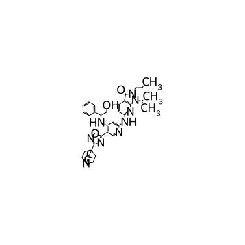 CCCn1c(=O)c2ccc(Nc3cc(N[C@H](CO)c4ccccc4)c(-c4nc(C56CCN(CC5)CC6)no4)cn3)nc2n1C(C)C